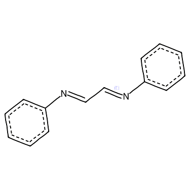 C(/C=N/c1ccccc1)=Nc1ccccc1